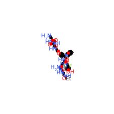 CCC(=O)NCCNC(=O)/N=C(/N)NCCC[C@@H](NC(=O)[C@H](c1ccc(OCCCNC(=O)C[C@H]2NC(=O)[C@@H](CCCN)NC2=O)cc1)N1Cc2ccccc2C1)C(=O)NCc1c(F)cc(O)cc1F